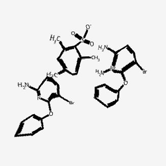 Cc1cc(C)c(S(=O)(=O)[O-])c(C)c1.Nc1ccc(Br)c(Oc2ccccc2)[n+]1N.Nc1ccc(Br)c(Oc2ccccc2)n1